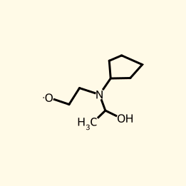 CC(O)N(CC[O])C1CCCC1